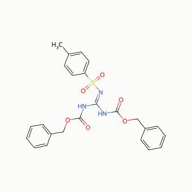 Cc1ccc(S(=O)(=O)N=C(NC(=O)OCc2ccccc2)NC(=O)OCc2ccccc2)cc1